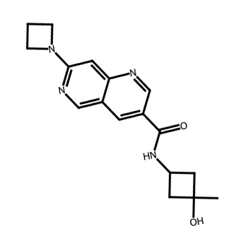 CC1(O)CC(NC(=O)c2cnc3cc(N4CCC4)ncc3c2)C1